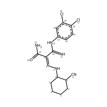 N#CC1CCCCC1N/C=C(\C(=N)Nc1ccc(Cl)c(Cl)c1)C(N)=O